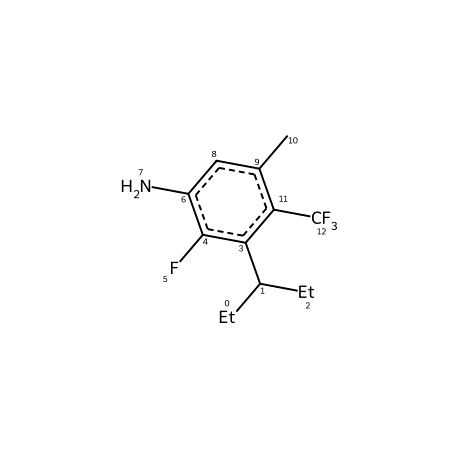 CCC(CC)c1c(F)c(N)cc(C)c1C(F)(F)F